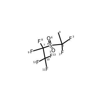 CC(F)(F)S(=O)(=O)C(F)(F)C(F)(F)F